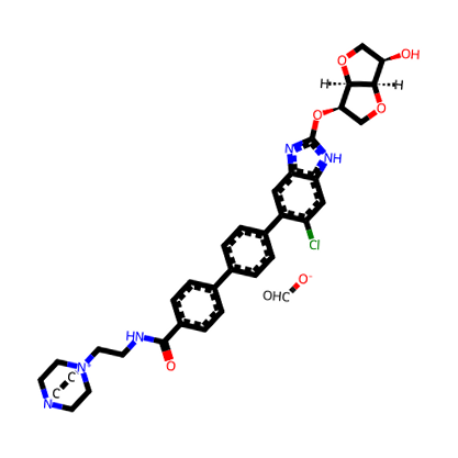 O=C(NCC[N+]12CCN(CC1)CC2)c1ccc(-c2ccc(-c3cc4nc(O[C@@H]5CO[C@H]6[C@@H]5OC[C@H]6O)[nH]c4cc3Cl)cc2)cc1.O=C[O-]